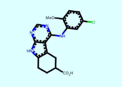 COc1ccc(Cl)cc1Nc1ncnc2[nH]c3c(c12)CC(C(=O)O)CC3